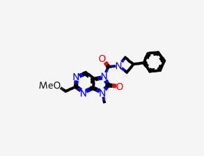 COCc1ncc2c(n1)n(C)c(=O)n2C(=O)N1CC(c2ccccc2)C1